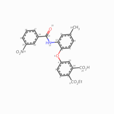 CCOC(=O)c1ccc(Oc2ccc(C)cc2NC(=O)c2cccc([N+](=O)[O-])c2)cc1C(=O)O